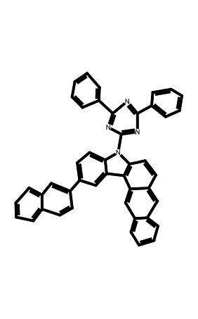 c1ccc(-c2nc(-c3ccccc3)nc(-n3c4ccc(-c5ccc6ccccc6c5)cc4c4c5cc6ccccc6cc5ccc43)n2)cc1